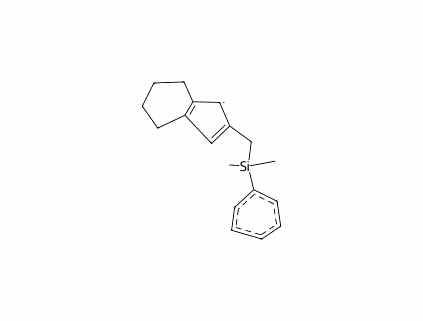 C[Si](C)(CC1=CC2=C([CH]1)CCCC2)c1ccccc1